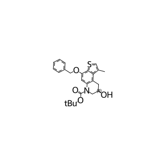 Cc1csc2c(OCc3ccccc3)cc3c(c12)C[C@@H](O)CN3C(=O)OC(C)(C)C